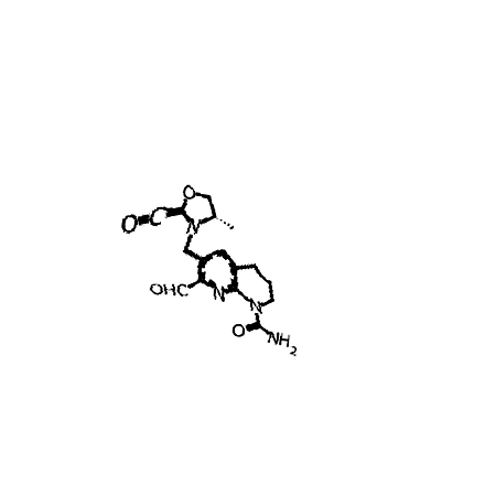 C[C@H]1COC(=C=O)N1Cc1cc2c(nc1C=O)N(C(N)=O)CCC2